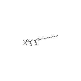 CCCCCCC/C=C/C(=O)CC(=O)OC(C)(C)C